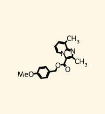 COc1ccc(COC(=O)c2c(C)nc3c(C)cccn23)cc1